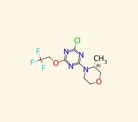 C[C@@H]1COCCN1c1nc(Cl)nc(OCC(F)(F)F)n1